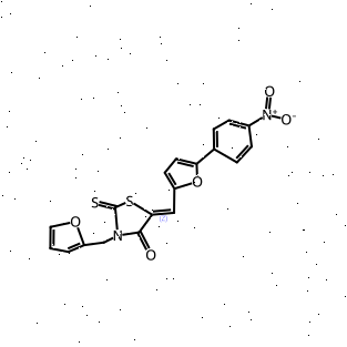 O=C1/C(=C/c2ccc(-c3ccc([N+](=O)[O-])cc3)o2)SC(=S)N1Cc1ccco1